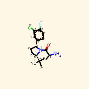 CC(N)C(=O)N1[C@H](c2ccc(F)c(Cl)c2)CC[C@@H]1C(C)(C)C#N